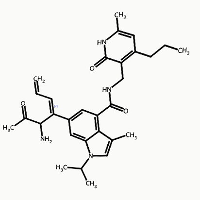 C=C/C=C(/c1cc(C(=O)NCc2c(CCC)cc(C)[nH]c2=O)c2c(C)cn(C(C)C)c2c1)C(N)C(C)=O